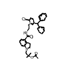 CC(=O)OC(C)(C)CN1CCc2c(C(=O)NCCn3cc(C(c4ccccc4)c4ccccc4)ccc3=O)cccc21